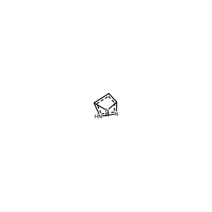 c1c2n[nH]c1N2